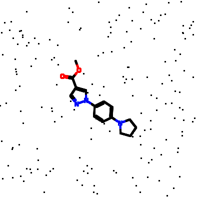 COC(=O)c1cnn(-c2ccc(N3CCCC3)cc2)c1